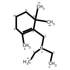 CCN(CC)CC1=C(C)CCCC1(C)C